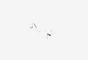 O=C(O)c1cccc(C2CCN(c3ccc(Cl)c(Cl)c3)C2)c1Cl